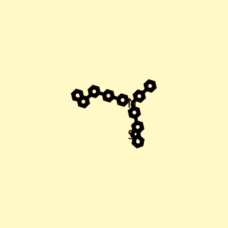 c1ccc(-c2ccc(N(c3ccc(-c4ccc(-c5cccc(-c6cccc7ccccc67)c5)cc4)cc3)c3ccc(-c4ccc5c(c4)sc4ccccc45)cc3)cc2)cc1